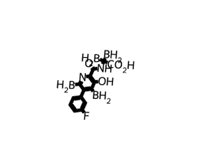 Bc1nc(C(=O)NC(B)(B)C(=O)O)c(O)c(B)c1-c1cccc(F)c1